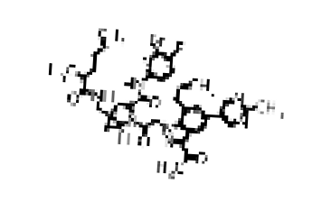 C=CCCC(C)C(=O)NC[C@@]12C[C@@H](C(=O)Nc3ccc(F)c(Br)n3)N(C(=O)Cn3nc(C(C)=O)c4cc(-c5cnc(C)nc5)cc(CC=C)c43)[C@@H]1C2